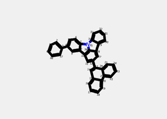 c1ccc(-c2ccc3c(c2)c2cc(-c4cc5ccccc5c5ccccc45)cc4c5ccccc5n3c42)cc1